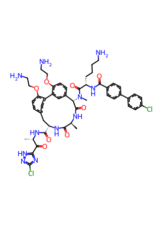 C[C@@H]1NC(=O)[C@@H](N(C)C(=O)[C@H](CCCCN)NC(=O)c2ccc(-c3ccc(Cl)cc3)cc2)c2ccc(OCCN)c(c2)-c2cc(ccc2OCCN)C[C@@H](C(=O)N[C@@H](C)C(=O)c2nc(Cl)n[nH]2)NC1=O